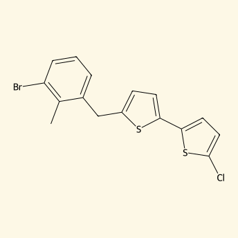 Cc1c(Br)cccc1Cc1ccc(-c2ccc(Cl)s2)s1